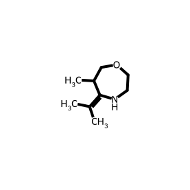 CC(C)=C1NCCOCC1C